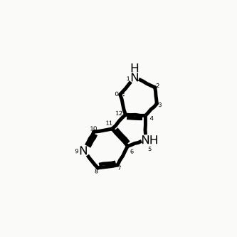 [C]1NCCc2[nH]c3ccncc3c21